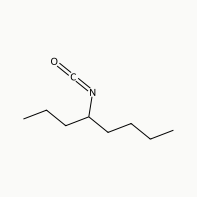 CCCCC(CCC)N=C=O